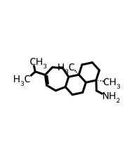 CC(C)C1=CCC2CCC3[C@](C)(CN)CCC[C@]3(C)C2CC1